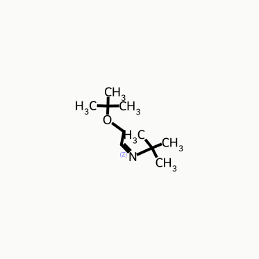 CC(C)(C)/N=C\COC(C)(C)C